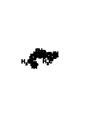 COc1cc(NC(=O)C(=O)NC(C)(C)Cc2ccc(N(C)c3ccncc3)cc2)ccc1-c1cnco1